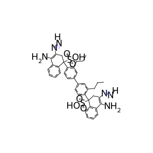 [H]/N=N/C1=C(N)c2ccccc2C(c2ccc(-c3ccc(C4(S(=O)(=O)O)CC(/N=N/[H])=C(N)c5ccccc54)c(CCC)c3)cc2CCC)(S(=O)(=O)O)C1